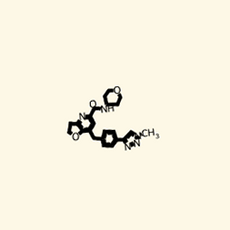 Cn1cc(-c2ccc(Cc3cc(C(=O)NC4CCOCC4)nc4c3OCC4)cc2)nn1